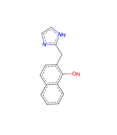 Oc1c(Cc2ncc[nH]2)ccc2ccccc12